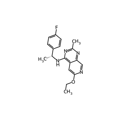 CCOc1cc2c(N[C@H](C)c3ccc(F)cc3)nc(C)nc2cn1